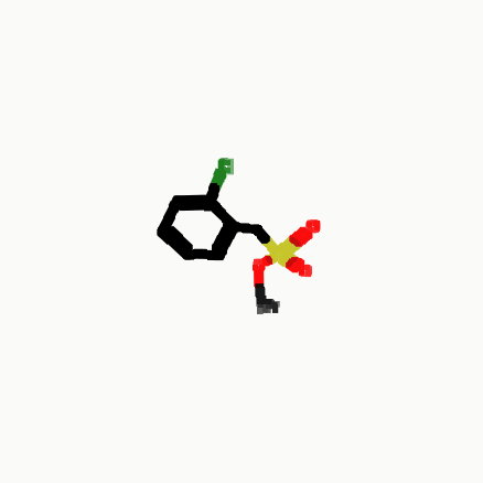 CCCOS(=O)(=O)Cc1ccccc1Cl